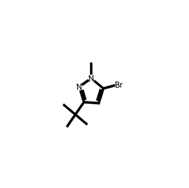 Cn1nc(C(C)(C)C)cc1Br